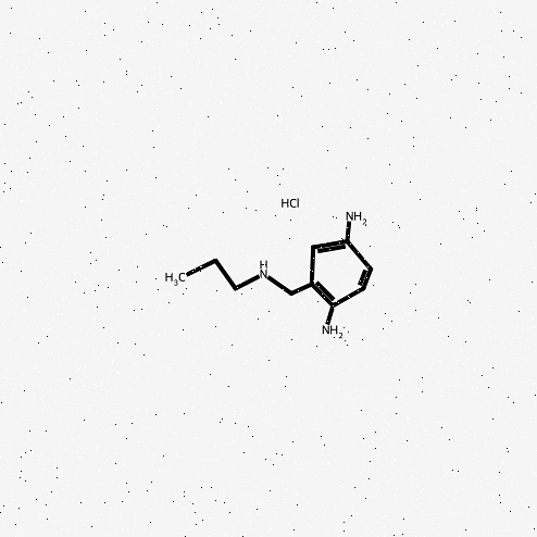 CCCNCc1cc(N)ccc1N.Cl